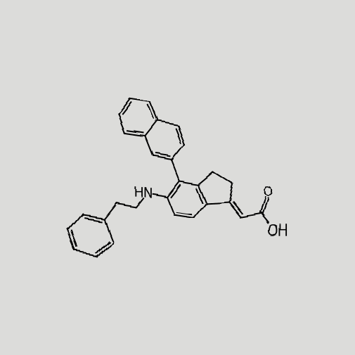 O=C(O)/C=C1\CCc2c1ccc(NCCc1ccccc1)c2-c1ccc2ccccc2c1